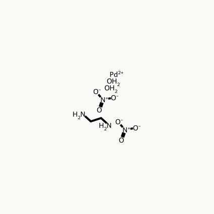 NCCN.O.O.O=[N+]([O-])[O-].O=[N+]([O-])[O-].[Pd+2]